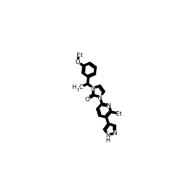 CCOc1cccc(C(C)n2ccn(-c3ccc(-c4cn[nH]c4)c(CC)n3)c2=O)c1